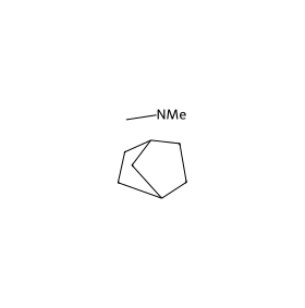 C1CC2CCC1C2.CNC